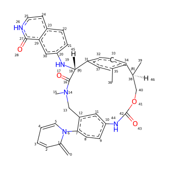 C=C1C=CC=CN1c1ccc2cc1CN(C)C(=O)[C@H](Nc1ccc3cc[nH]c(=O)c3c1)c1ccc(c(C)c1)[C@@H](C)COC(=O)N2